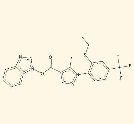 CCSc1cc(C(F)(F)F)ccc1-n1ncc(C(=O)On2nnc3ccccc32)c1C